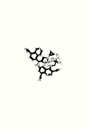 CC(C)(C)CNc1c(C#N)cnc2c(C#N)cc(N[C@H](C3=CN([C@@H]4C[C@@H]4F)NN3)c3ccc(C#N)c4cnccc34)cc12